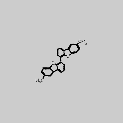 Cc1ccc2oc3c(-c4cccc5c4oc4ccc(C)cc45)cccc3c2c1